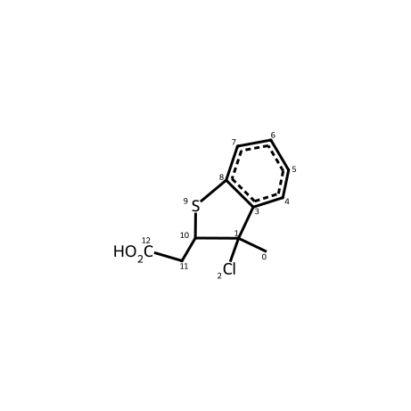 CC1(Cl)c2ccccc2SC1CC(=O)O